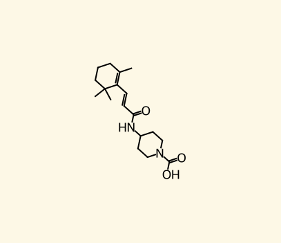 CC1=C(C=CC(=O)NC2CCN(C(=O)O)CC2)C(C)(C)CCC1